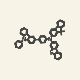 CC1(C)c2ccccc2-c2ccc(N(c3ccc(-c4ccc5c(c4)c4ccccc4n5-c4ccccc4)cc3)c3ccc4c(c3)sc3ccccc34)cc21